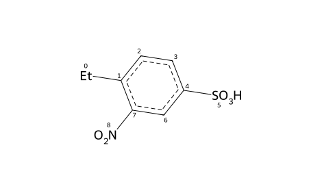 CCc1ccc(S(=O)(=O)O)cc1[N+](=O)[O-]